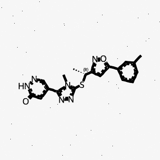 Cc1cccc(-c2cc([C@@H](C)Sc3nnc(-c4cn[nH]c(=O)c4)n3C)no2)c1